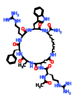 CC(=O)N[C@@H](CCCNC(=N)N)C(=O)N[C@H]1CC(=O)NCCCC[C@@H](C(N)=O)NC(=O)[C@H](Cc2c[nH]c3ccccc23)NC(=O)[C@H](CCCNC(=N)N)NC(=O)[C@@H](Cc2ccccc2)NC(=O)[C@H](C)NC1=O